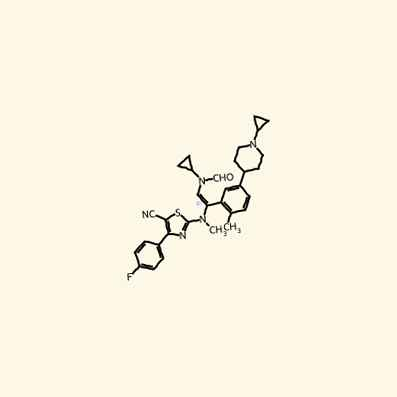 Cc1ccc(C2CCN(C3CC3)CC2)cc1/C(=C\N(C=O)C1CC1)N(C)c1nc(-c2ccc(F)cc2)c(C#N)s1